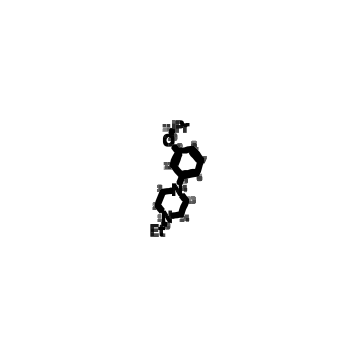 CCN1CCN(c2cc[c]c(OC(C)C)c2)CC1